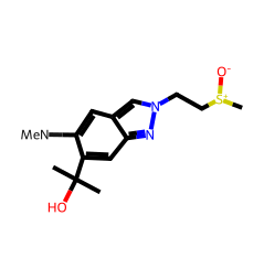 CNc1cc2cn(CC[S+](C)[O-])nc2cc1C(C)(C)O